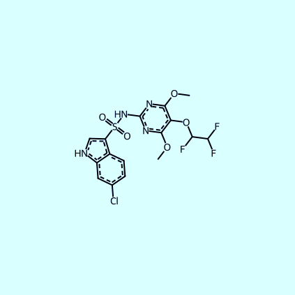 COc1nc(NS(=O)(=O)c2c[nH]c3cc(Cl)ccc23)nc(OC)c1OC(F)C(F)F